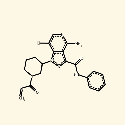 C=CC(=O)N1CCCC(n2nc(C(=O)Nc3ccccc3)c3c(N)ncc(Cl)c32)C1